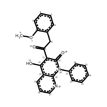 COc1ccccc1CC(=O)c1c(O)c2cccnc2n(-c2ccccc2)c1=O